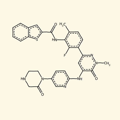 Cc1ccc(-c2cc(Nc3ccc(N4CCNCC4=O)cn3)c(=O)n(C)n2)c(F)c1NC(=O)c1cc2ccccc2s1